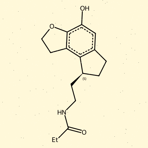 CCC(=O)NCC[C@@H]1CCc2cc(O)c3c(c21)CCO3